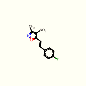 Cc1noc(C=Cc2ccc(F)cc2)c1[N+](=O)[O-]